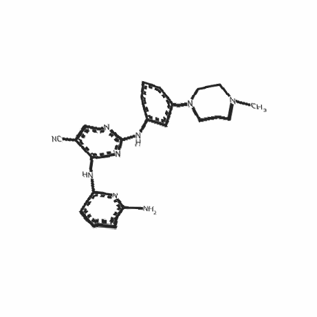 CN1CCN(c2cccc(Nc3ncc(C#N)c(Nc4cccc(N)n4)n3)c2)CC1